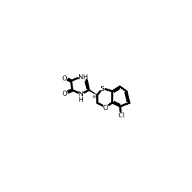 O=c1[nH]cc([C@@H]2COc3c(Cl)cccc3S2)[nH]c1=O